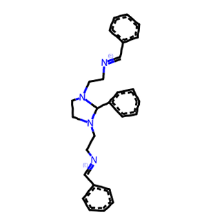 C(=N\CCN1CCN(CC/N=C/c2ccccc2)C1c1ccccc1)/c1ccccc1